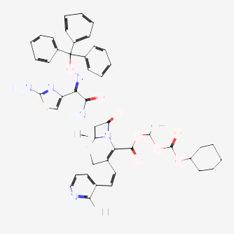 Cc1ncccc1/C=C\C1=C(C(=O)OC(C)OC(=O)OC2CCCCC2)N2C(=O)[C@@H](NC(=O)/C(=N/OC(c3ccccc3)(c3ccccc3)c3ccccc3)c3csc(N)n3)[C@H]2SC1